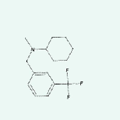 CN(Cc1cccc(C(F)(F)F)c1)C1CCCCC1